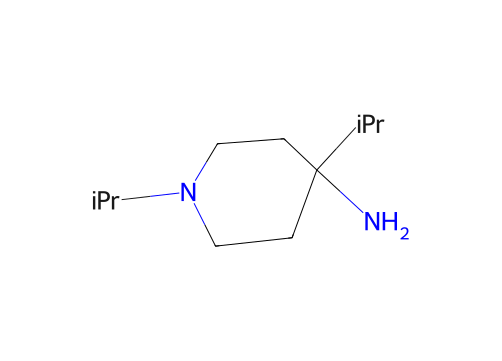 CC(C)N1CCC(N)(C(C)C)CC1